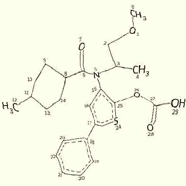 COCC(C)N(C(=O)C1CCC(C)CC1)c1cc(-c2ccccc2)sc1OC(=O)O